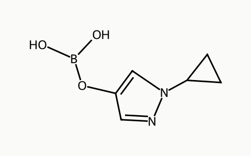 OB(O)Oc1cnn(C2CC2)c1